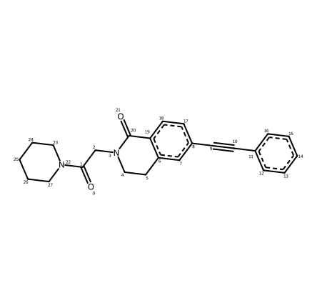 O=C(CN1CCc2cc(C#Cc3ccccc3)ccc2C1=O)N1CCCCC1